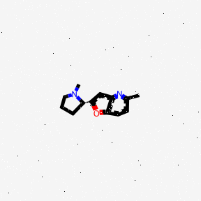 Cc1ccc2oc([C@@H]3CCCN3C)cc2n1